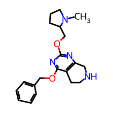 CN1CCCC1COc1nc2c(c(OCc3ccccc3)n1)CCNC2